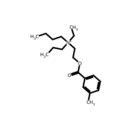 CCCC[N+](CC)(CCC)CCOC(=O)c1cccc(C)c1